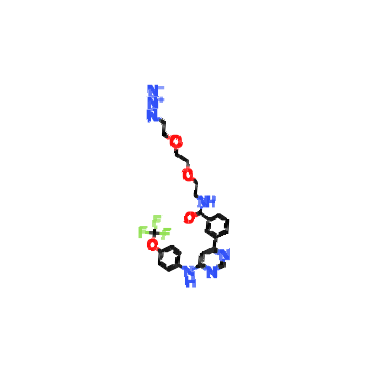 [N-]=[N+]=NCCOCCOCCNC(=O)c1cccc(-c2cc(Nc3ccc(OC(F)(F)F)cc3)ncn2)c1